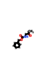 CC(=O)CNC(=O)OCC1=CCCC=C1